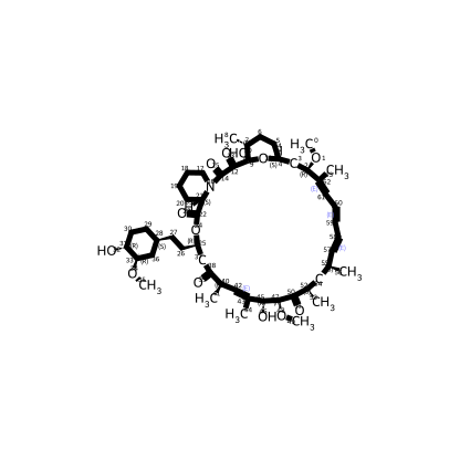 CO[C@@H]1C[C@@H]2CC[C@@H](C)[C@@](O)(O2)C(=O)C(=O)N2CCCC[C@H]2C(=O)O[C@H](CC[C@@H]2CC[C@@H](O)[C@H](OC)C2)CC(=O)[C@H](C)/C=C(\C)[C@@H](O)[C@@H](OC)C(=O)[C@@H](C)C[C@H](C)/C=C/C=C/C=C/1C